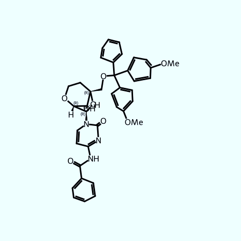 COc1ccc(C(OC[C@@]23CCO[C@@H]([C@H](n4ccc(NC(=O)c5ccccc5)nc4=O)O2)[C@@H]3O)(c2ccccc2)c2ccc(OC)cc2)cc1